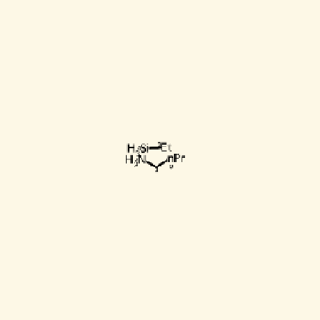 CCCCN.CC[SiH3]